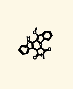 COc1c2n(c3ccccc13)C1C(=O)N(C)C(=O)C1c1c-2[nH]c2ccccc12